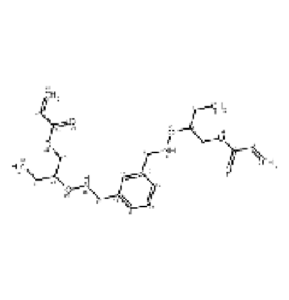 C=CC(=O)OCC(CC)ONCc1cccc(CNOC(CC)COC(=O)C=C)c1